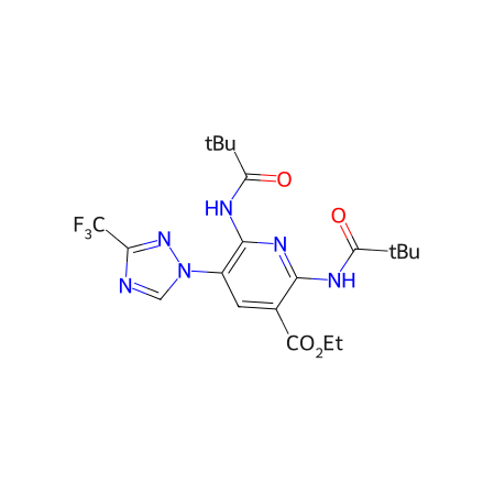 CCOC(=O)c1cc(-n2cnc(C(F)(F)F)n2)c(NC(=O)C(C)(C)C)nc1NC(=O)C(C)(C)C